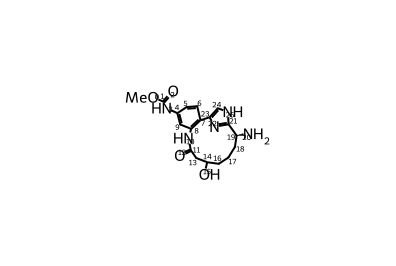 COC(=O)Nc1ccc2c(c1)NC(=O)CC(O)CCC[C@H](N)c1nc-2c[nH]1